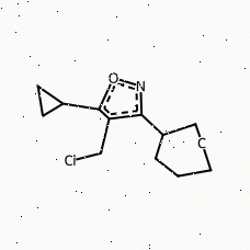 ClCc1c(C2CCCCC2)noc1C1CC1